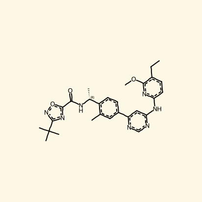 CCc1ccc(Nc2cc(-c3ccc([C@@H](C)NC(=O)c4nc(C(C)(C)C)no4)c(C)c3)ncn2)nc1OC